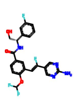 Nc1ncc(/C(F)=C/c2cc(C(=O)N[C@H](CO)c3cccc(F)c3)ccc2OC(F)F)cn1